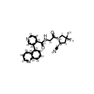 N#C[C@@H]1CC(F)(F)CN1C(=O)CNC(=O)c1ccncc1-c1cccc2ncccc12